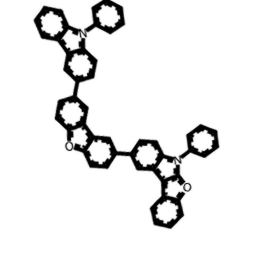 c1ccc(-n2c3ccccc3c3cc(-c4ccc5oc6ccc(-c7ccc8c(c7)c7c9ccccc9oc7n8-c7ccccc7)cc6c5c4)ccc32)cc1